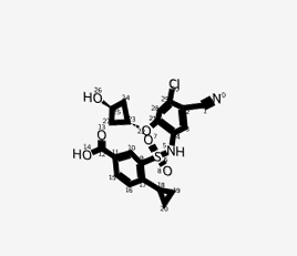 N#Cc1cc(NS(=O)(=O)c2cc(C(=O)O)ccc2C2CC2)c(O[C@H]2C[C@H](O)C2)cc1Cl